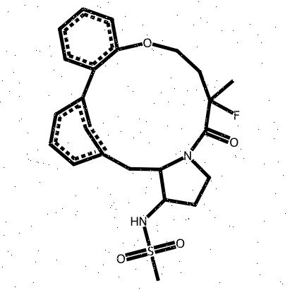 CC1(F)CCOc2ccccc2-c2cccc(c2)CC2C(NS(C)(=O)=O)CCN2C1=O